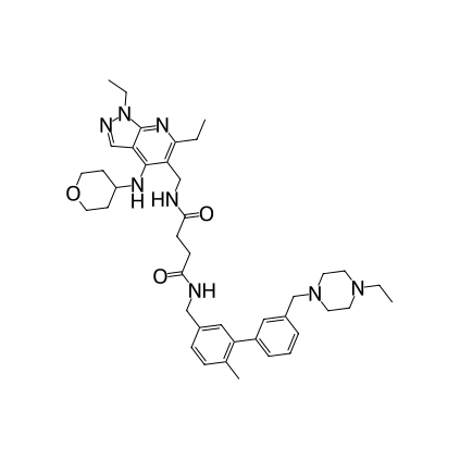 CCc1nc2c(cnn2CC)c(NC2CCOCC2)c1CNC(=O)CCC(=O)NCc1ccc(C)c(-c2cccc(CN3CCN(CC)CC3)c2)c1